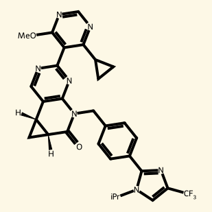 COc1ncnc(C2CC2)c1-c1ncc2c(n1)N(Cc1ccc(-c3nc(C(F)(F)F)cn3C(C)C)cc1)C(=O)[C@@H]1C[C@H]21